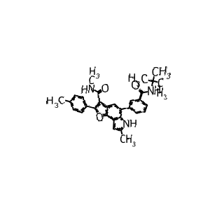 CNC(=O)c1c(-c2ccc(C)cc2)oc2c1cc(-c1cccc(C(=O)NC(C)(C)C)c1)c1[nH]c(C)cc12